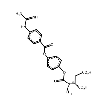 CN(C(=O)Oc1ccc(OC(=O)c2ccc(NC(=N)N)cc2)cc1)[C@@H](CC(=O)O)C(=O)O